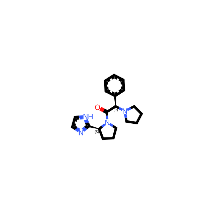 O=C([C@@H](c1ccccc1)N1CCCC1)N1CCC[C@H]1c1ncc[nH]1